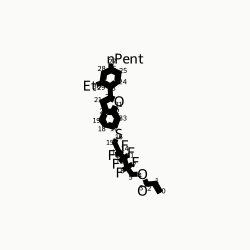 C=CC(=O)OCC(F)(F)C(F)(F)C(F)(F)CSc1ccc2cc(-c3ccc(CCCCC)cc3CC)oc2c1